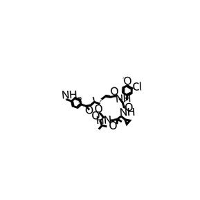 COc1ccc(C[C@H]2NC(=O)/C=C/C[C@@H]([C@H](C)C3OC3c3ccc(CN)cc3)OC(=O)[C@H](CC(C)C)NC(=O)C(C)(C)C(C3CC3)NC2=O)cc1Cl